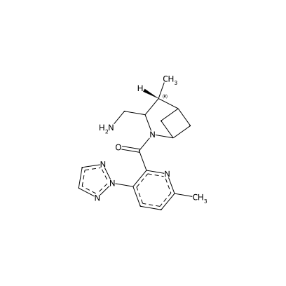 Cc1ccc(-n2nccn2)c(C(=O)N2C3CC(C3)[C@@H](C)C2CN)n1